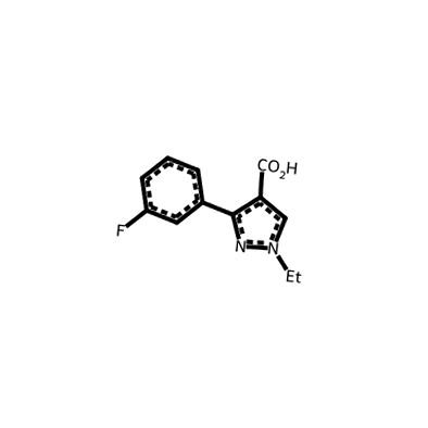 CCn1cc(C(=O)O)c(-c2cccc(F)c2)n1